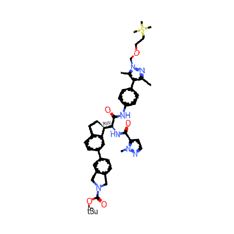 Cc1nn(COCCS(C)(C)C)c(C)c1-c1ccc(NC(=O)[C@@H](NC(=O)c2ccnn2C)[C@@H]2CCc3ccc(-c4ccc5c(c4)CN(C(=O)OC(C)(C)C)C5)cc32)cc1